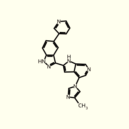 Cc1cn(-c2cncc3[nH]c(-c4n[nH]c5ccc(-c6cccnc6)cc45)cc23)cn1